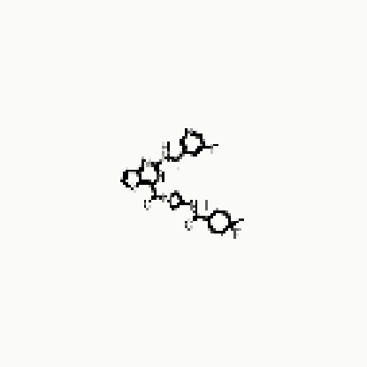 C[C@H](Nc1nc(C(=O)N2CC(NC(=O)C3CCC(F)(F)CC3)C2)c2sccc2n1)c1cncc(F)c1